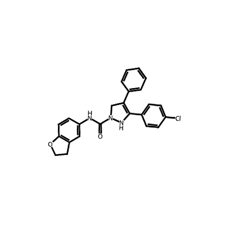 O=C(Nc1ccc2c(c1)CCO2)N1CC(c2ccccc2)=C(c2ccc(Cl)cc2)N1